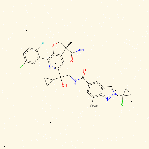 COc1cc(C(=O)NCC(O)(c2cc3c(c(-c4cc(Cl)ccc4F)n2)OC[C@]3(C)C(N)=O)C2CC2)cc2cn(C3(Cl)CC3)nc12